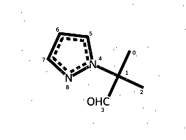 CC(C)(C=O)n1cccn1